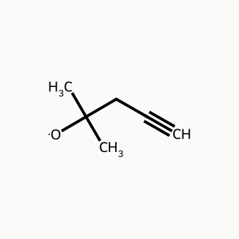 C#CCC(C)(C)[O]